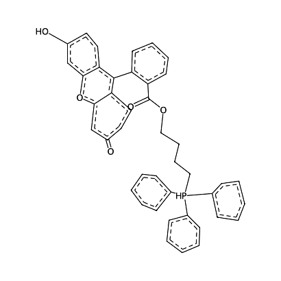 O=C(OCCCC[PH](c1ccccc1)(c1ccccc1)c1ccccc1)c1ccccc1-c1c2ccc(=O)cc-2oc2cc(O)ccc12